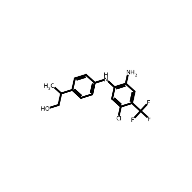 CC(CO)c1ccc(Nc2cc(Cl)c(C(F)(F)F)cc2N)cc1